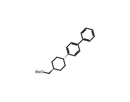 COC[C@H]1CC[C@H](c2ccc(-c3ccccc3)cc2)CC1